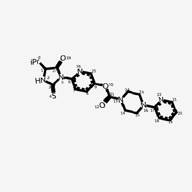 CC(C)C1NC(=S)N(c2ccc(OC(=O)N3CCN(c4ccccn4)CC3)cn2)C1=O